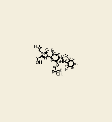 CCn1c(CO)nn(-c2cc(OCC(C)(F)F)c(C(=O)Nc3c(F)cccc3Cl)cc2F)c1=O